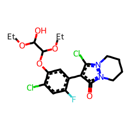 CCOC(O)C(OCC)Oc1cc(-c2c(Cl)n3n(c2=O)CCCC3)c(F)cc1Cl